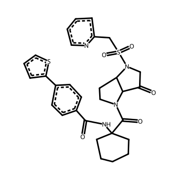 O=C(NC1(C(=O)N2CCC3C2C(=O)CN3S(=O)(=O)Cc2ccccn2)CCCCC1)c1ccc(-c2cccs2)cc1